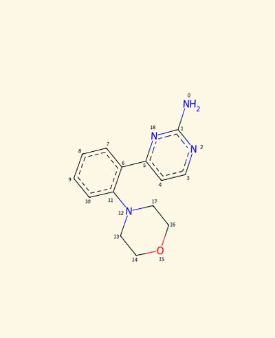 Nc1nccc(-c2ccccc2N2CCOCC2)n1